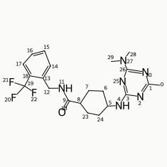 Cc1nc(NC2CCC(C(=O)NCc3ccccc3C(F)(F)F)CC2)nc(N(C)C)n1